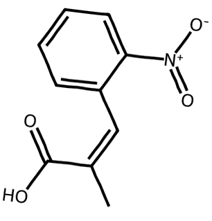 CC(=Cc1ccccc1[N+](=O)[O-])C(=O)O